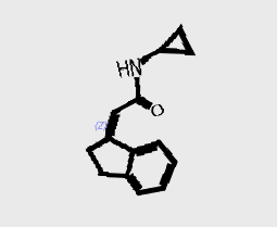 O=C(/C=C1/CCc2ccccc21)NC1CC1